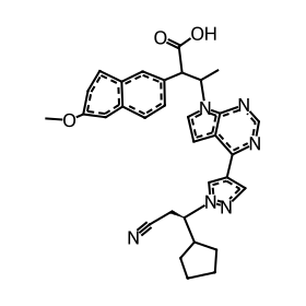 COc1ccc2cc(C(C(=O)O)C(C)n3ccc4c(-c5cnn([C@H](CC#N)C6CCCC6)c5)ncnc43)ccc2c1